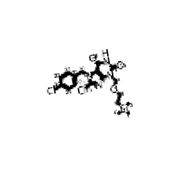 C[Si](C)(C)CCOCn1c(=O)[nH]c(=O)c2c1nc(Cl)n2Cc1ccc(Cl)cc1